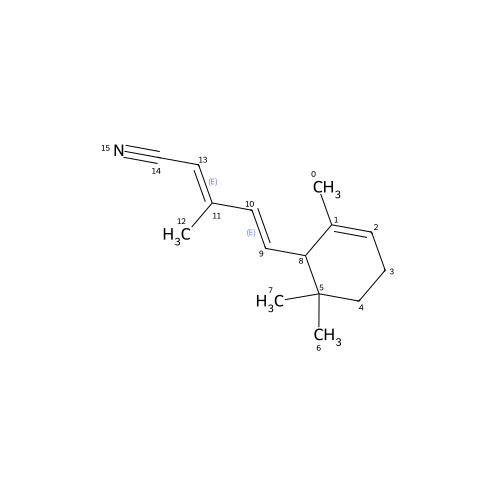 CC1=CCCC(C)(C)C1/C=C/C(C)=C/C#N